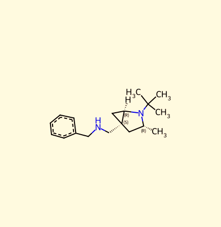 C[C@@H]1C[C@@]2(CNCc3ccccc3)C[C@H]2N1C(C)(C)C